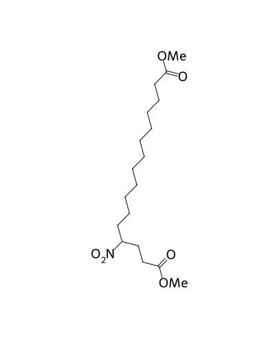 COC(=O)CCCCCCCCCCCC(CCC(=O)OC)[N+](=O)[O-]